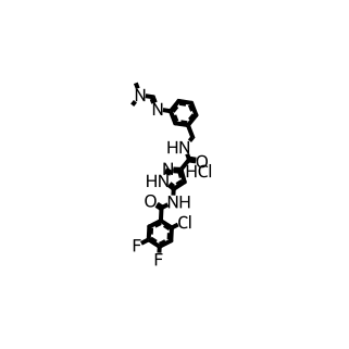 CN(C)/C=N/c1cccc(CNC(=O)c2cc(NC(=O)c3cc(F)c(F)cc3Cl)[nH]n2)c1.Cl